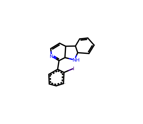 Ic1[c]cccc1C1=NC=CC2C1NC1C=CC=CC12